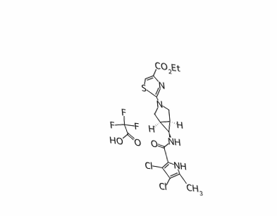 CCOC(=O)c1csc(N2C[C@@H]3[C@H](C2)[C@@H]3NC(=O)c2[nH]c(C)c(Cl)c2Cl)n1.O=C(O)C(F)(F)F